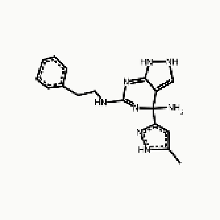 Cc1cc(C2(N)N=C(NCCc3ccccc3)N=C3NNC=C32)n[nH]1